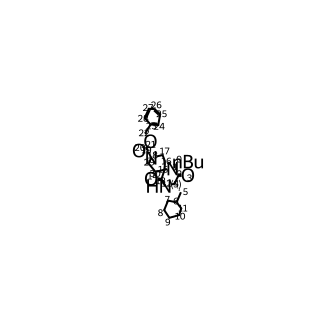 CCCCN1C(=O)[C@H](CC2CCCCC2)NC(=O)C12CCN(C(=O)OCc1ccccc1)CC2